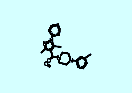 C=O.Cc1cccc(N2CCN(C(=O)c3c(C)nn(-c4ccccc4)c3C)CC2)c1